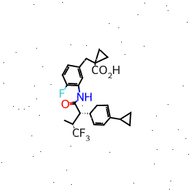 C[C@H]([C@H](C(=O)Nc1cc(CC2(C(=O)O)CC2)ccc1F)C1C=CC(C2CC2)=CC1)C(F)(F)F